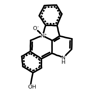 [O-][N+]12C=c3ccc(O)cc3=C3NC=CC(=C31)c1ccccc12